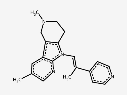 C/C(=C\n1c2c(c3cc(C)cnc31)CN(C)CC2)c1ccncc1